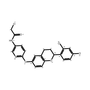 O=C(CCl)Nc1ccc(Oc2ccc3c(c2)CCC(c2ccc(Cl)cc2Cl)O3)nc1